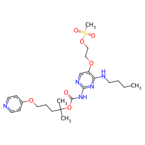 CCCCNc1nc(NC(=O)OC(C)(C)CCCOc2ccncc2)ncc1OCCOS(C)(=O)=O